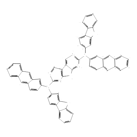 c1ccc2cc3cc(N(c4ccc5c(c4)oc4ccccc45)c4ncc5c(n4)oc4nc(N(c6ccc7cc8ccccc8cc7c6)c6ccc7c(c6)oc6ccccc67)ncc45)ccc3cc2c1